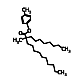 CCCCCCCCCCC(C)(CCCCCCCC)C(=O)Oc1ccc(C)cc1